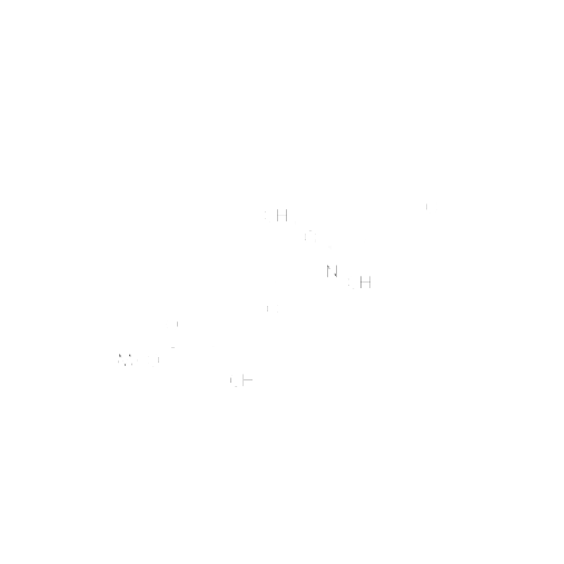 COC(=O)CCC(C)=CCOc1ccc(C)cc1CN(C)C(=O)c1ccc(-c2ccco2)cc1